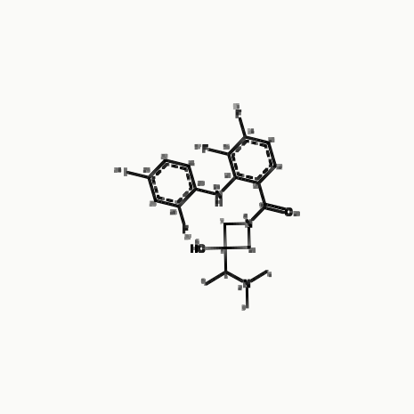 CC(N(C)C)C1(O)CN(C(=O)c2ccc(F)c(F)c2Nc2ccc(I)cc2F)C1